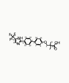 CC(C)(COc1ccc(-c2ccc(-c3ncc(C(F)(F)F)[nH]3)cc2)cc1)C(=O)O